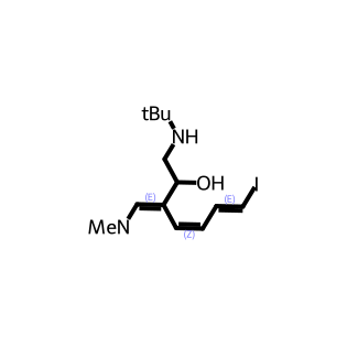 CN\C=C(/C=C\C=C\I)C(O)CNC(C)(C)C